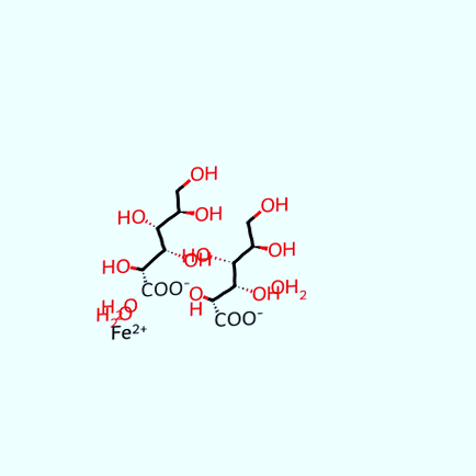 O.O.O.O=C([O-])[C@H](O)[C@@H](O)[C@H](O)[C@H](O)CO.O=C([O-])[C@H](O)[C@@H](O)[C@H](O)[C@H](O)CO.[Fe+2]